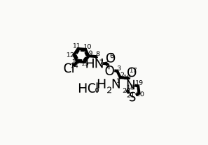 Cl.N[C@@H](COC(=O)NCc1cccc(Cl)c1)C(=O)N1CCSC1